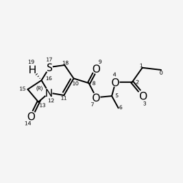 CCC(=O)OC(C)OC(=O)C1=CN2C(=O)C[C@H]2SC1